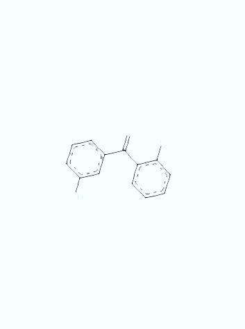 O=Cc1cccc(C(=O)c2ccccc2C=O)c1